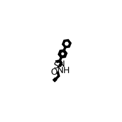 C#CCC(=O)Nc1nc(-c2ccc(C3CCCCC3)cc2)cs1